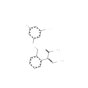 CO/C=C(\C(=O)OC)c1ccccc1COc1cc(O)cc(F)c1